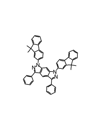 CC1(C)c2ccccc2-c2ccc(-n3nc(-c4ccccc4)c4cc5c(-c6ccccc6)nn(-c6ccc7c(c6)C(C)(C)c6ccccc6-7)c5cc43)cc21